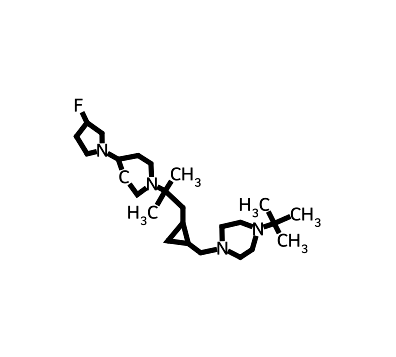 CC(C)(C)N1CCN(CC2CC2CC(C)(C)N2CCC(N3CCC(F)C3)CC2)CC1